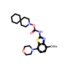 COc1ccc(N2CCOCC2)c2sc(NC(=O)ON3CCC4(CCCCC4)CC3)nc12